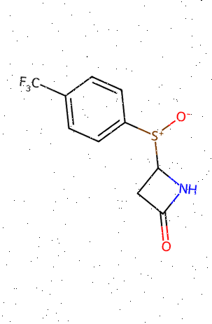 O=C1CC([S+]([O-])c2ccc(C(F)(F)F)cc2)N1